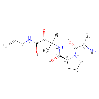 C=CCNC(=O)C(=O)C(C)(CC)NC(=O)[C@@H]1CCCN1C(=O)[C@@H](N)C(C)(C)C